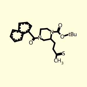 CC(=S)CCC1CN(C(=O)c2cccc3ccccc23)CCN1C(=O)OC(C)(C)C